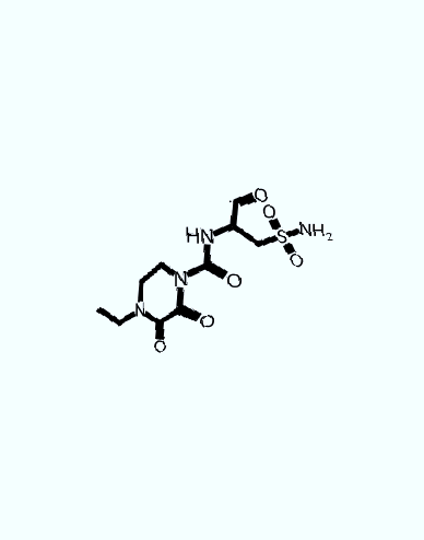 CCN1CCN(C(=O)NC([C]=O)CS(N)(=O)=O)C(=O)C1=O